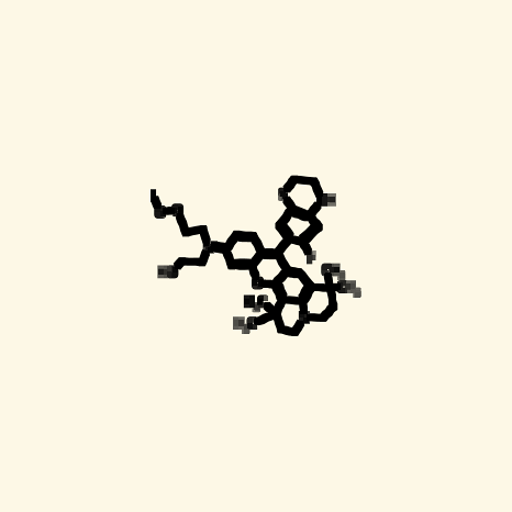 CC1(C)CCN2CCC(C)(C)c3c2c1cc1c(-c2cc4c(cc2F)NCCS4)c2cc/c(=[N+](/CCO)CCOOI)cc-2oc31